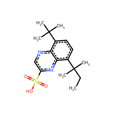 CCC(C)(C)c1ccc(C(C)(C)C)c2ncc(S(=O)(=O)O)nc12